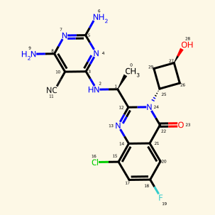 C[C@H](Nc1nc(N)nc(N)c1C#N)c1nc2c(Cl)cc(F)cc2c(=O)n1[C@H]1C[C@H](O)C1